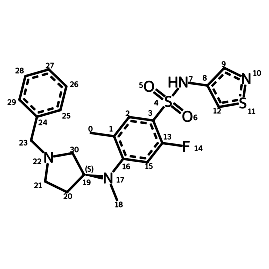 Cc1cc(S(=O)(=O)Nc2cnsc2)c(F)cc1N(C)[C@H]1CCN(Cc2ccccc2)C1